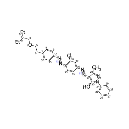 CCC(CC)COCCc1ccc(/N=N/c2ccc(/N=N/c3c(C)nn(-c4ccccc4)c3O)cc2Cl)cc1